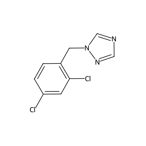 Clc1ccc(Cn2cncn2)c(Cl)c1